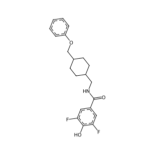 O=C(NCC1CCC(COc2ccccc2)CC1)c1cc(F)c(O)c(F)c1